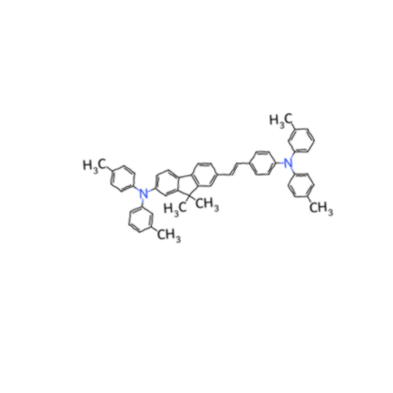 Cc1ccc(N(c2ccc(/C=C/c3ccc4c(c3)C(C)(C)c3cc(N(c5ccc(C)cc5)c5cccc(C)c5)ccc3-4)cc2)c2cccc(C)c2)cc1